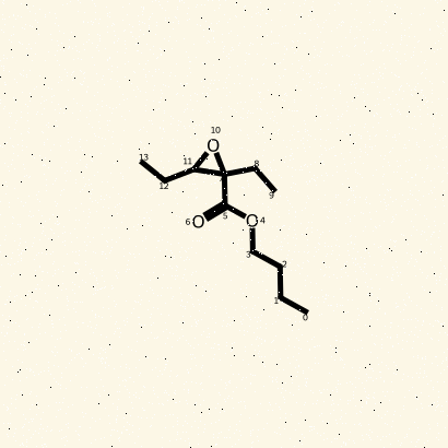 CCCCOC(=O)C1(CC)OC1CC